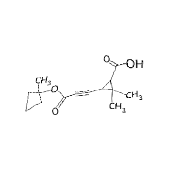 CC1(OC(=O)C#CC2C(C(=O)O)C2(C)C)CCC1